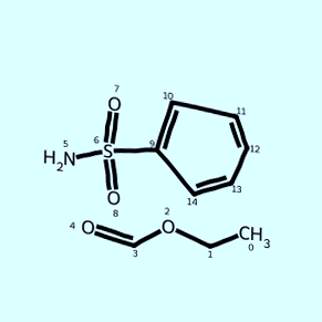 CCOC=O.NS(=O)(=O)c1ccccc1